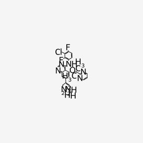 [2H]C([2H])([2H])n1cc(-c2cc(OC(C)(C)c3ncccn3)c3c(Nc4ccc(F)c(Cl)c4F)ncnc3c2)cn1